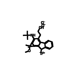 CO[Si]1(C)c2c(NC(C)(C)C)c(CCO)c3c(c21)[CH]([Ti+2])c1ccccc1-3.[Cl-].[Cl-]